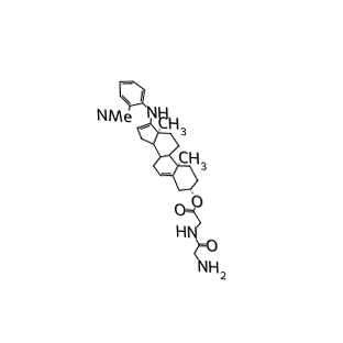 CNc1ccccc1NC1=CCC2C3CC=C4C[C@@H](OC(=O)CNC(=O)CN)CC[C@]4(C)C3CC[C@]12C